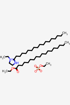 CCCCCCCCCCCCCCCCCC(=O)OCC.CCCCCCCCCCCCCCCCCC1=[N+](CC)CCN1.CCOS(=O)(=O)[O-]